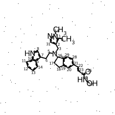 Cc1c(CN(CCc2c[nH]c3ccccc23)C2CCc3cc(C=CC(=O)NO)ccc32)cnn1C